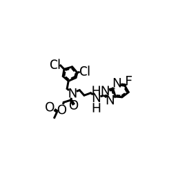 CC(=O)OCC(=O)N(CCCNc1nc2ccc(F)nc2[nH]1)Cc1cc(Cl)cc(Cl)c1